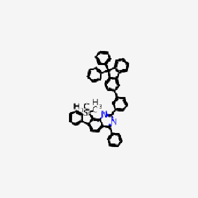 C[Si]1(C)c2ccccc2-c2ccc3c(-c4ccccc4)nc(-c4cccc(-c5ccc6c(c5)-c5ccccc5C6(c5ccccc5)c5ccccc5)c4)nc3c21